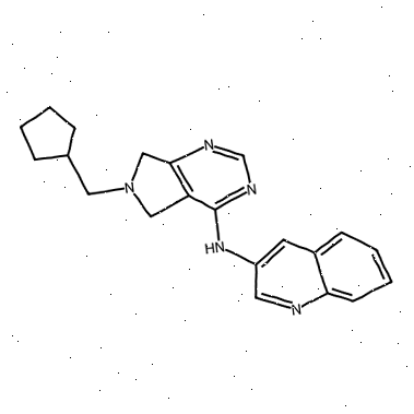 c1ccc2ncc(Nc3ncnc4c3CN(CC3CCCC3)C4)cc2c1